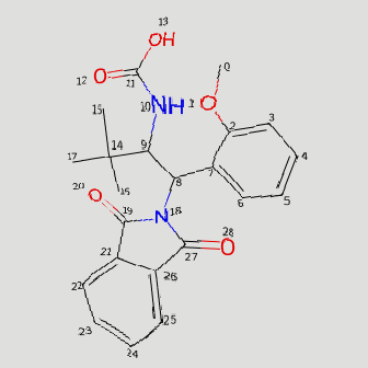 COc1ccccc1C(C(NC(=O)O)C(C)(C)C)N1C(=O)c2ccccc2C1=O